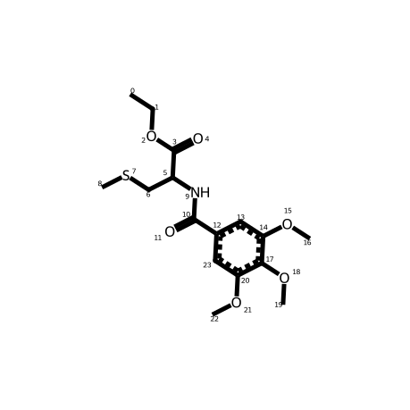 CCOC(=O)C(CSC)NC(=O)c1cc(OC)c(OC)c(OC)c1